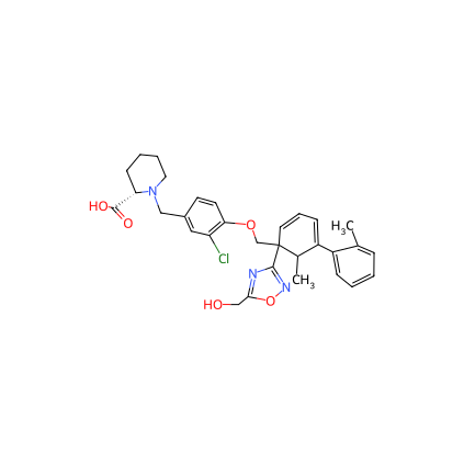 Cc1ccccc1C1=CC=CC(COc2ccc(CN3CCCC[C@H]3C(=O)O)cc2Cl)(c2noc(CO)n2)C1C